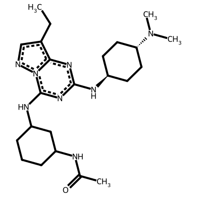 CCc1cnn2c(NC3CCCC(NC(C)=O)C3)nc(N[C@H]3CC[C@H](N(C)C)CC3)nc12